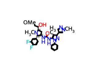 COCC(O)[C@H]1C[C@@H](NC(=O)Nc2c(C)c(-c3cnn(C)c3)nn2-c2ccccc2)[C@H](c2ccc(F)c(F)c2)N1C